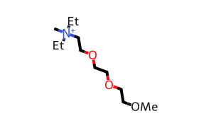 CC[N+](C)(CC)CCOCCOCCOC